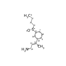 CCCC[S+]([O-])c1cccc(/C(C)=C/CN)c1